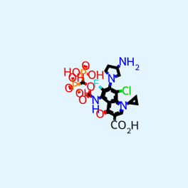 NC1CCN(c2c(F)c(NC(=O)OC(P(=O)(O)O)P(=O)(O)O)c3c(=O)c(C(=O)O)cn(C4CC4)c3c2Cl)C1